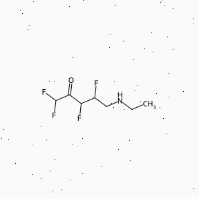 CCNCC(F)C(F)C(=O)C(F)F